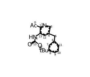 CC(=O)c1ncc(Cc2ccccc2)cc1NC(=O)OC(C)(C)C